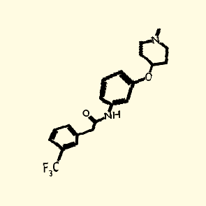 CN1CCC(Oc2cccc(NC(=O)Cc3cccc(C(F)(F)F)c3)c2)CC1